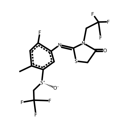 Cc1cc(F)c(N=C2SCC(=O)N2CC(F)(F)F)cc1[S@+]([O-])CC(F)(F)F